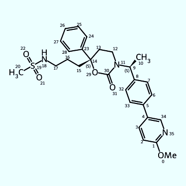 COc1ccc(-c2ccc([C@H](C)N3CC[C@@](CCCNS(C)(=O)=O)(c4ccccc4)OC3=O)cc2)cn1